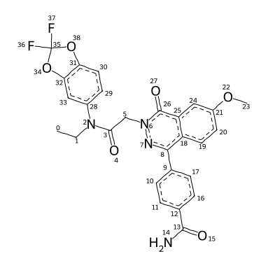 CCN(C(=O)Cn1nc(-c2ccc(C(N)=O)cc2)c2ccc(OC)cc2c1=O)c1ccc2c(c1)OC(F)(F)O2